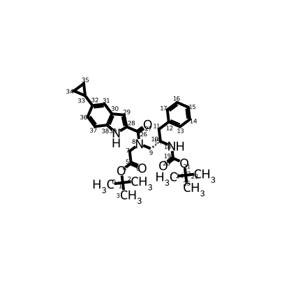 CC(C)(C)OC(=O)CN(C[C@H](Cc1ccccc1)NC(=O)OC(C)(C)C)C(=O)c1cc2cc(C3CC3)ccc2[nH]1